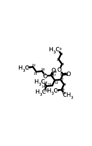 CCCCOC(=O)C(CC(C)C)C(CC(C)C)C(=O)OCCCC